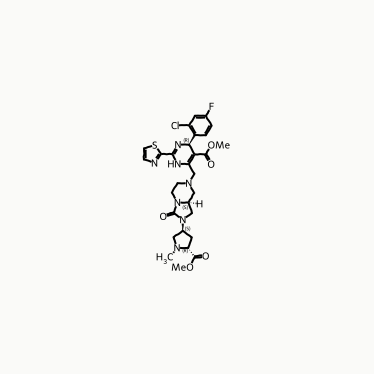 COC(=O)C1=C(CN2CCN3C(=O)N([C@H]4C[C@H](C(=O)OC)N(C)C4)C[C@@H]3C2)NC(c2nccs2)=N[C@H]1c1ccc(F)cc1Cl